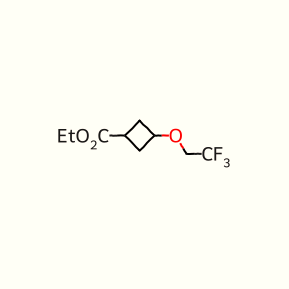 CCOC(=O)C1CC(OCC(F)(F)F)C1